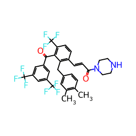 Cc1ccc(Cc2c(C=CC(=O)N3CCNCC3)ccc(C(F)(F)F)c2C(=O)c2cc(C(F)(F)F)cc(C(F)(F)F)c2)cc1C